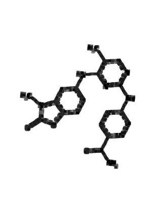 Cc1cnc(Nc2ccc(C(N)=O)cc2)nc1Nc1ccc2oc(=O)n(C)c2c1